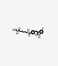 O=C(CCCCCNC(=O)c1ccc(/C=C2\C(=O)Nc3ccc(F)cc32)cc1)NO